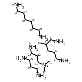 CC(CN)CCCN.CN(C)CCCN.NCCCCCCN.NCCCN